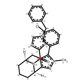 Cn1nc2c(c1-c1cccc(Cl)c1)C[C@@H]1CCC[C@H]2N1C(=O)c1ncn(Cc2ccccc2)n1